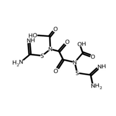 N=C(N)SN(C(=O)O)C(=O)C(=O)N(SC(=N)N)C(=O)O